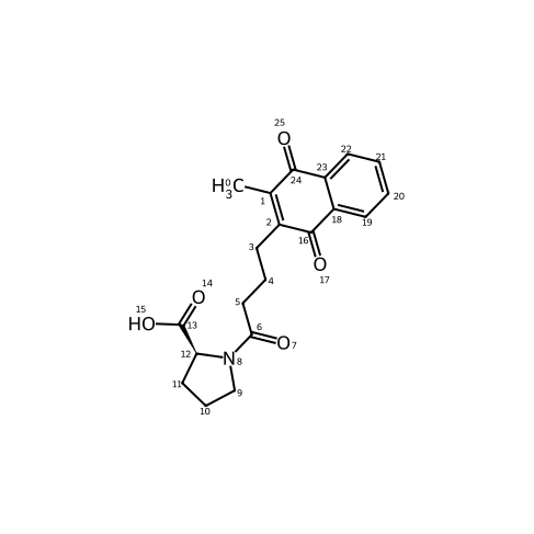 CC1=C(CCCC(=O)N2CCC[C@H]2C(=O)O)C(=O)c2ccccc2C1=O